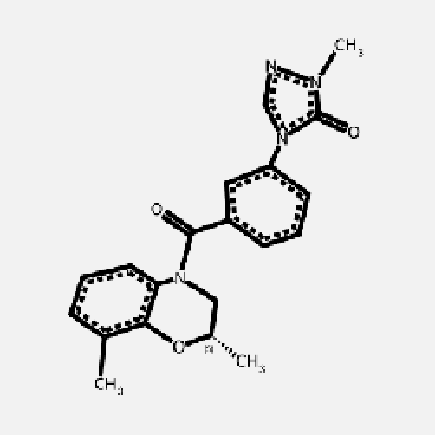 Cc1cccc2c1O[C@@H](C)CN2C(=O)c1cccc(-n2cnn(C)c2=O)c1